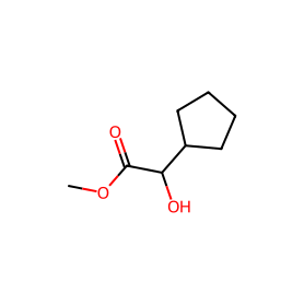 COC(=O)C(O)C1CCCC1